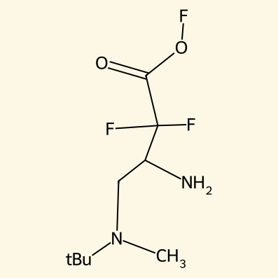 CN(CC(N)C(F)(F)C(=O)OF)C(C)(C)C